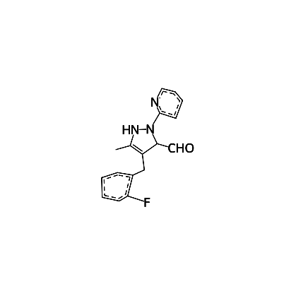 CC1=C(Cc2ccccc2F)C(C=O)N(c2ccccn2)N1